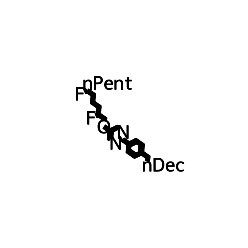 CCCCCCCCCCCc1ccc(-c2ncc(OCC(F)CCCC(F)CCCCC)cn2)cc1